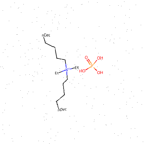 CCCCCCCCCCCCCC[N+](CC)(CC)CCCCCCCCCCCCCC.O=P(O)(O)O